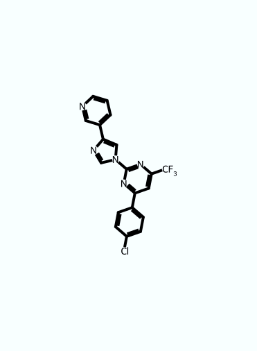 FC(F)(F)c1cc(-c2ccc(Cl)cc2)nc(-n2cnc(-c3cccnc3)c2)n1